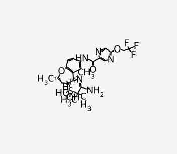 C[C@H]1C[C@@H]2[C@](C)(N=C(N)C(C)(C)S2(O)O)c2cc(NC(=O)c3cnc(OCC(F)(F)F)cn3)ccc2O1